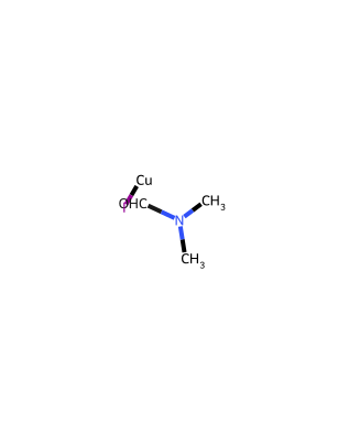 CN(C)C=O.[Cu][I]